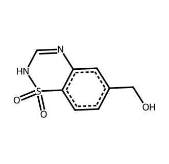 O=S1(=O)NC=Nc2cc(CO)ccc21